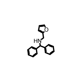 c1ccc(C(NCc2ccco2)c2ccccc2)cc1